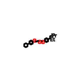 CCC(CC(C)C)c1ccc(OCOCCOc2ccc(C3CCCCC3)cc2)cc1